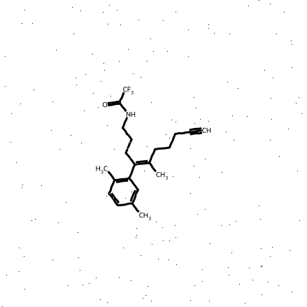 C#CCCC/C(C)=C(\CCCNC(=O)C(F)(F)F)c1cc(C)ccc1C